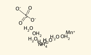 O.O.O.O.O.O.O.O=S(=O)([O-])[O-].[Mn+].[NH4+]